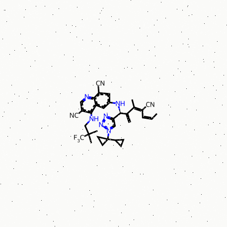 C=C(/C(C)=C(C#N)\C=C/C)[C@H](Nc1cc(C#N)c2ncc(C#N)c(NCC(C)(C)C(F)(F)F)c2c1)c1cn(C2(C3CC3)CC2)nn1